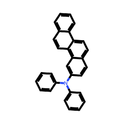 c1ccc(N(c2ccccc2)c2ccc3ccc4c5ccccc5ccc4c3c2)cc1